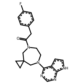 O=C(Cc1ccc(F)cc1)N1CCN(c2ncnc3[nH]ccc23)CC2(CC2)C1